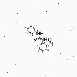 CC(=O)c1ccccc1NC(=S)Nc1ccccc1